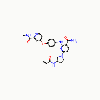 C=CC(=O)NC1CCN(c2ccc(C(N)=O)c(Nc3ccc(Oc4ccnc(C(=O)NC)c4)cc3)n2)C1